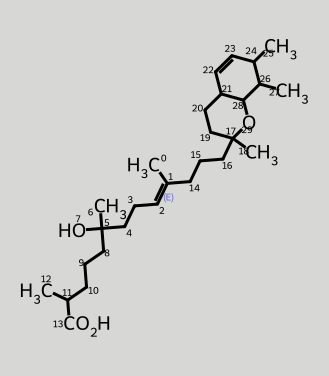 C/C(=C\CCC(C)(O)CCCC(C)C(=O)O)CCCC1(C)CCC2C=CC(C)C(C)C2O1